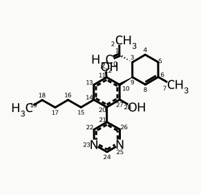 C=C(C)[C@@H]1CCC(C)=C[C@H]1c1c(O)cc(CCCCC)c(-c2cncnc2)c1O